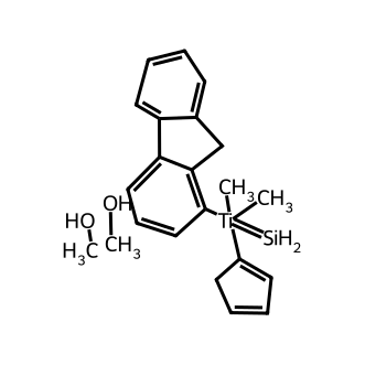 CO.CO.[CH3][Ti]([CH3])(=[SiH2])([C]1=CC=CC1)[c]1cccc2c1Cc1ccccc1-2